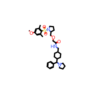 COc1cc(C)c(S(=O)(=O)N2CCCC2COCC(=O)NCC2CCC(C(c3ccccc3)N3CCCC3)CC2)c(C)c1